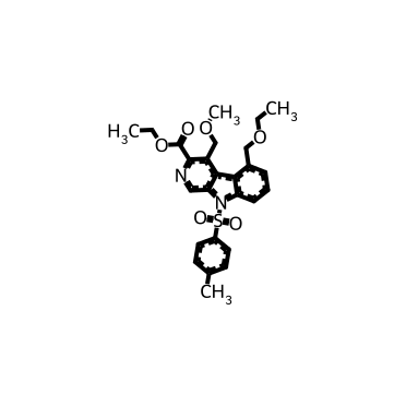 CCOCc1cccc2c1c1c(COC)c(C(=O)OCC)ncc1n2S(=O)(=O)c1ccc(C)cc1